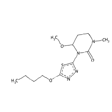 CCCCOc1nnc(N2C(=O)N(C)CCC2OC)s1